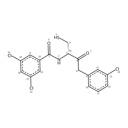 O=C(N[C@H](CS)C(=O)[CH]c1cccc(Cl)c1)c1cc(Cl)cc(Cl)c1